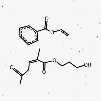 C=COC(=O)c1ccccc1.CC(=O)CC=C(C)C(=O)OCCCO